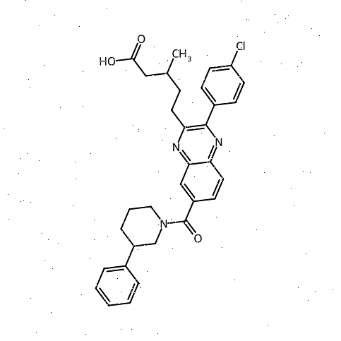 CC(CCc1nc2cc(C(=O)N3CCCC(c4ccccc4)C3)ccc2nc1-c1ccc(Cl)cc1)CC(=O)O